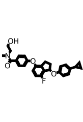 CN(CCO)C(=O)c1ccc(Oc2ccc(F)c3c2CCC3Oc2ccc(C3CC3)cc2)cc1